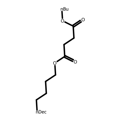 CCCCCCCCCCCCCCOC(=O)CCC(=O)OCCCC